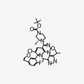 CC(C)c1ncnc(C(C)C)c1-n1c(=O)nc(N2CCN(C(=O)OC(C)(C)C)C[C@@H]2C)c2cc(Cl)c(-c3c(F)ccc4ccoc34)nc21